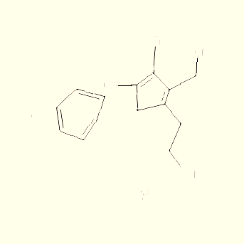 CCCC1=C(CC)[C]([Ti+3])=C([SiH2]c2ccccc2)C1.[Cl-].[Cl-].[Cl-]